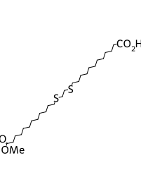 COC(=O)CCCCCCCCCCCSCCSCCCCCCCCCCCC(=O)O